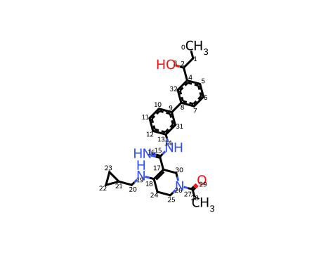 CCC(O)c1cccc(-c2cccc(NC(=N)C3=C(NCC4CC4)CCN(C(C)=O)C3)c2)c1